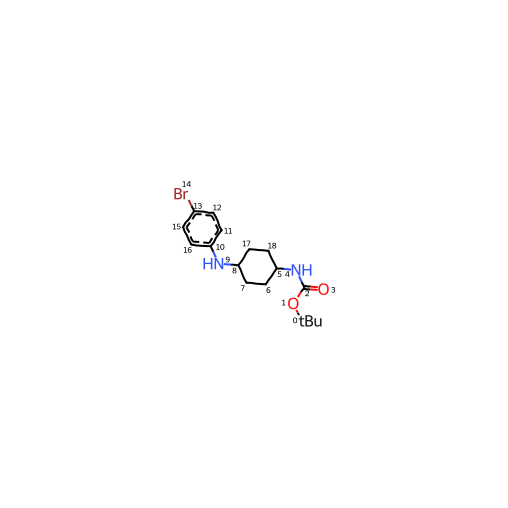 CC(C)(C)OC(=O)NC1CCC(Nc2ccc(Br)cc2)CC1